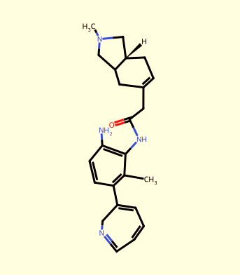 Cc1c(C2=CC=CC=NC2)ccc(N)c1NC(=O)CC1=CC[C@H]2CN(C)CC2C1